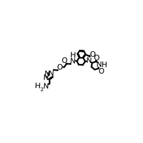 NCc1cn(CCOCC(=O)CNC2CCC3c4c(cccc42)C(=O)N3C2CCC(=O)NC2=O)nn1